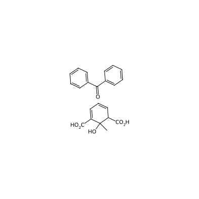 CC1(O)C(C(=O)O)=CC=CC1C(=O)O.O=C(c1ccccc1)c1ccccc1